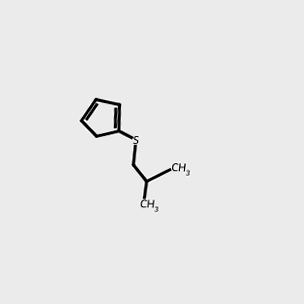 CC(C)CSC1=CC=CC1